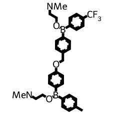 CNCCOB(c1ccc(C)cc1)c1ccc(OCc2ccc(B(OCCNC)c3ccc(C(F)(F)F)cc3)cc2)cc1